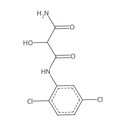 NC(=O)C(O)C(=O)Nc1cc(Cl)ccc1Cl